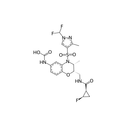 Cc1nn(C(F)F)cc1S(=O)(=O)N1c2cc(NC(=O)O)ccc2O[C@@H](CNC(=O)[C@H]2C[C@H]2F)[C@H]1C